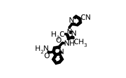 Cc1nn(Cc2ccc(C#N)cn2)c(C)c1NC(=O)c1cc(C(N)=O)c2ccccc2n1